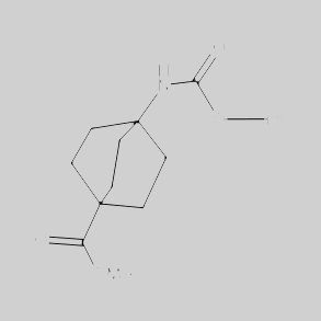 COC(=O)C12CCC(NC(=O)OC(C)C)(CC1)CC2